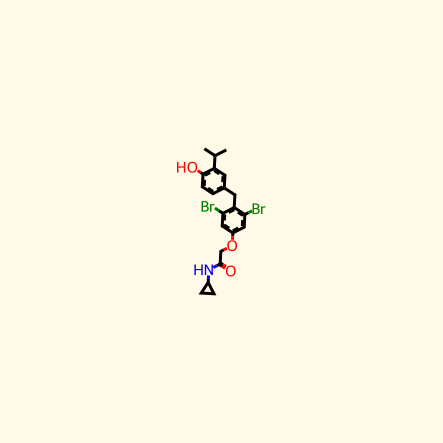 CC(C)c1cc(Cc2c(Br)cc(OCC(=O)NC3CC3)cc2Br)ccc1O